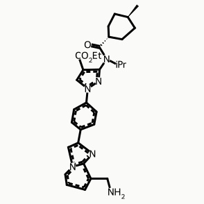 CCOC(=O)c1cn(-c2ccc(-c3cn4cccc(CN)c4n3)cc2)nc1N(C(=O)[C@H]1CC[C@H](C)CC1)C(C)C